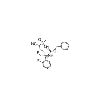 CS(=O)(=O)C(C#N)CC[C@](CF)(NC(=O)OCc1ccccc1)c1ccccc1F